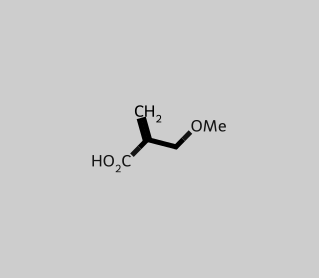 C=C(COC)C(=O)O